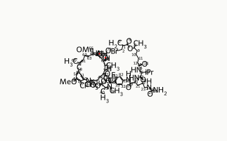 C=C(CBr)C(=O)OC(C)CCCCC(=O)N[C@H](C(=O)N[C@@H](CCCNC(N)=O)C(=O)Nc1ccc(C(=O)N(C)[C@@H](C)C(=O)O[C@H]2CC(=O)N(C)c3cc(cc(OC)c3Cl)C/C(C)=C/C=C/[C@@H](OC)[C@@]3(O)C[C@H](OC(=O)N3)[C@@H](C)[C@@H]3O[C@@]23C)c(F)c1)C(C)C